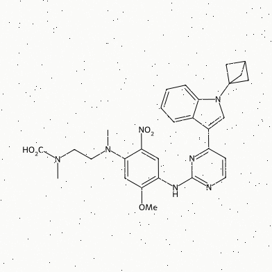 COc1cc(N(C)CCN(C)C(=O)O)c([N+](=O)[O-])cc1Nc1nccc(-c2cn(C34CC(C3)C4)c3ccccc23)n1